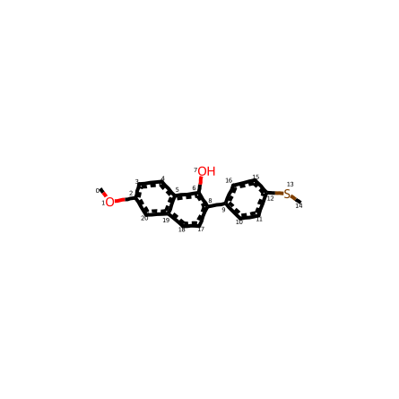 COc1ccc2c(O)c(-c3ccc(SC)cc3)ccc2c1